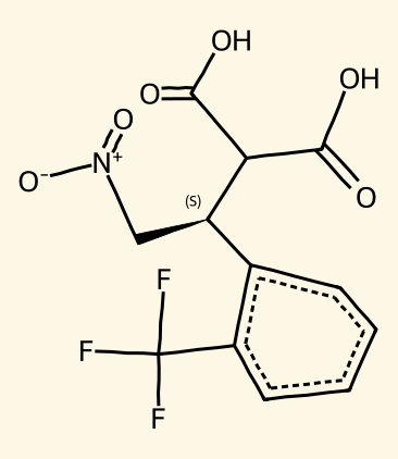 O=C(O)C(C(=O)O)[C@H](C[N+](=O)[O-])c1ccccc1C(F)(F)F